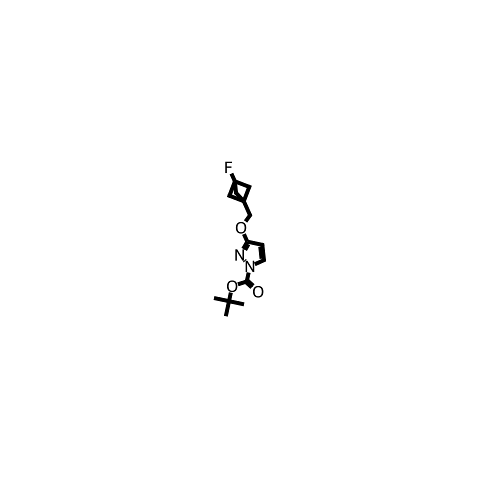 CC(C)(C)OC(=O)n1ccc(OCC23CC(F)(C2)C3)n1